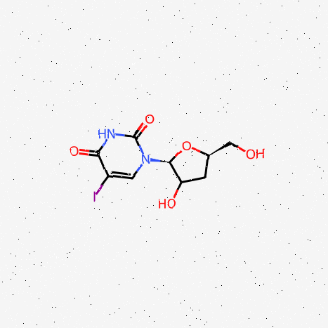 O=c1[nH]c(=O)n([C@H]2O[C@@H](CO)CC2O)cc1I